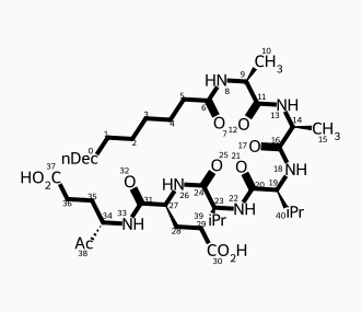 CCCCCCCCCCCCCCCC(=O)N[C@@H](C)C(=O)N[C@@H](C)C(=O)N[C@H](C(=O)N[C@H](C(=O)N[C@@H](CCC(=O)O)C(=O)N[C@@H](CCC(=O)O)C(C)=O)C(C)C)C(C)C